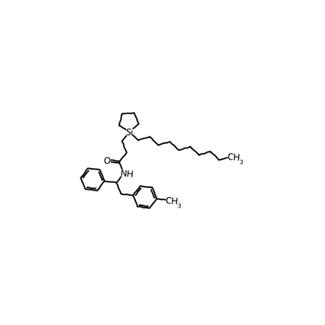 CCCCCCCCCC[Si]1(CCC(=O)NC(Cc2ccc(C)cc2)c2ccccc2)CCCC1